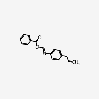 C=CCc1ccc(N=COC(=O)c2ccccc2)cc1